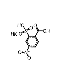 O=C(O)c1ccc([N+](=O)[O-])cc1S(=O)(=O)O.[KH]